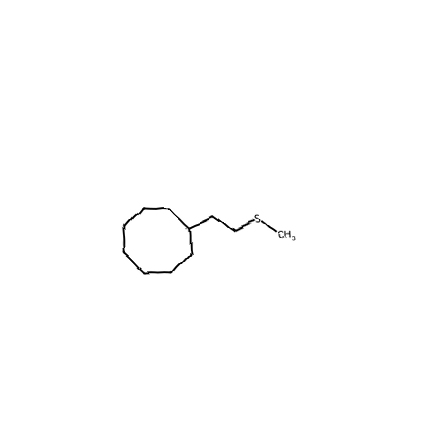 CSCC[C]1CCCCCCC1